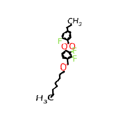 CCCCCCCCOCc1ccc(OC(=O)c2ccc(CCC)cc2F)c(F)c1F